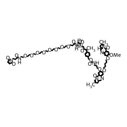 COc1cc2c(cc1OCCCCCOc1cc3c(cc1OCCCNC(=O)OCc1ccc([C@H](C)C(=O)CNC(=O)[C@@H](NC(=O)CCOCCOCCOCCOCCOCCOCCOCCOCCNC(=O)CCN4C(=O)C=CC4=O)C(C)C)cc1)C(=O)N1C=C(C)CC1C=N3)N=C[C@@H]1CC(C)=CN1C2=O